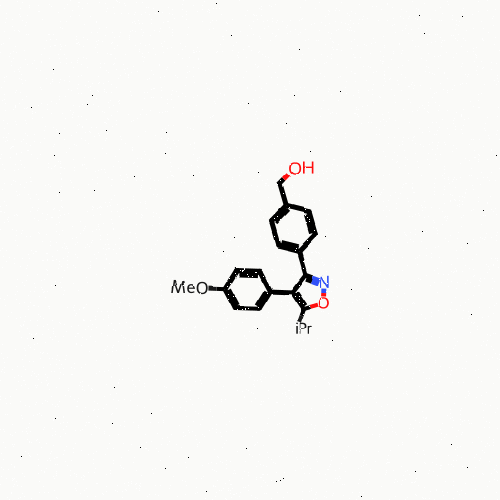 COc1ccc(-c2c(-c3ccc(CO)cc3)noc2C(C)C)cc1